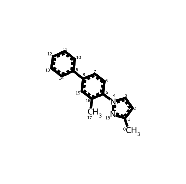 Cc1ccn(-c2ccc(-c3ccccc3)cc2C)n1